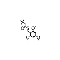 COc1cc(OC)c(CSC(=O)CC(C)(C)C)c(OC)c1